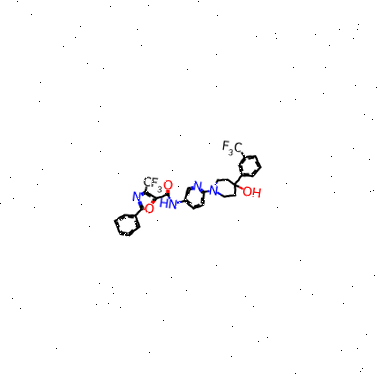 O=C(Nc1ccc(N2CCC(O)(c3cccc(C(F)(F)F)c3)CC2)nc1)c1oc(-c2ccccc2)nc1C(F)(F)F